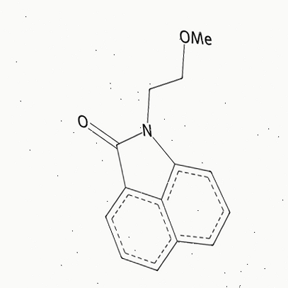 COCCN1C(=O)c2cccc3cccc1c23